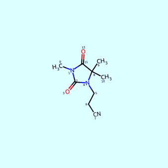 CN1C(=O)N(CCC#N)C(C)(C)C1=O